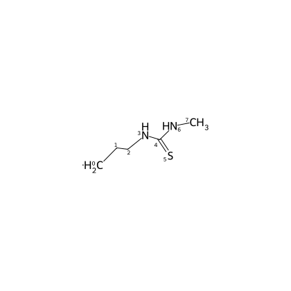 [CH2]CCNC(=S)NC